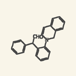 O=CC(c1ccccc1)c1ccccc1N1C=Cc2ccccc2C1